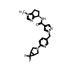 Cn1cnc2c1CC[C@H]2NC(=O)c1cnn(Cc2ccc(N3CC4C(C3)C4(F)F)nc2)c1